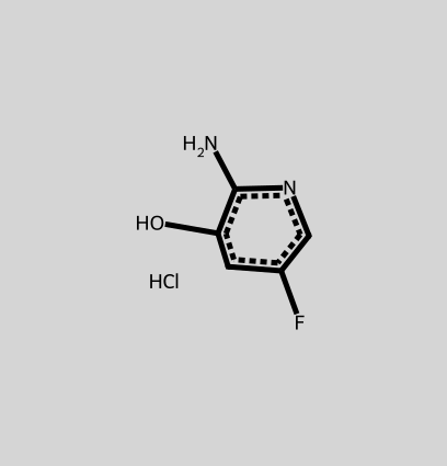 Cl.Nc1ncc(F)cc1O